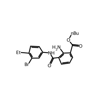 CCCCOC(=O)c1cccc(C(=O)Nc2ccc(CC)c(Br)c2)c1N